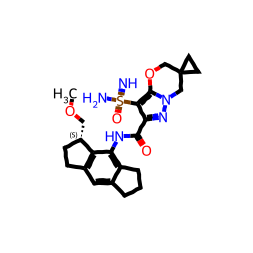 COC[C@H]1CCc2cc3c(c(NC(=O)c4nn5c(c4S(=N)(N)=O)OCC4(CC4)C5)c21)CCC3